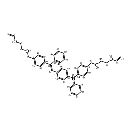 C=COCCOCc1ccc(/C(=C/c2ccc(N(c3ccccc3)c3ccc(COCCOC=C)cc3)cc2)c2ccccc2)cc1